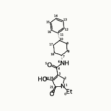 CCN1CC(C(=O)N[C@H]2CC[C@@H](c3ccccc3)CC2)=C(O)C1=O